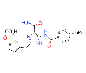 CCCc1ccc(C(=O)Nc2[nH]c(Cc3ccc(OC(=O)O)s3)nc2C(N)=O)cc1